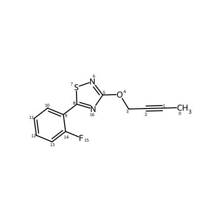 CC#CCOc1nsc(-c2ccccc2F)n1